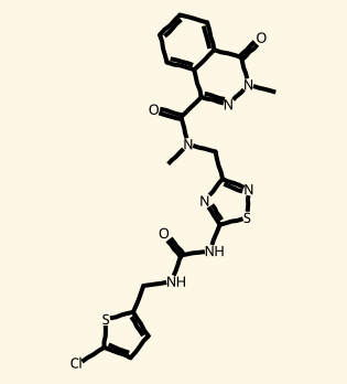 CN(Cc1nsc(NC(=O)NCc2ccc(Cl)s2)n1)C(=O)c1nn(C)c(=O)c2ccccc12